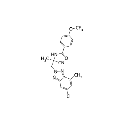 Cc1cc(Cl)cc2nn(CC(C)(C#N)NC(=O)c3ccc(OC(F)(F)F)cc3)nc12